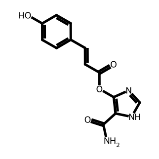 NC(=O)c1[nH]cnc1OC(=O)C=Cc1ccc(O)cc1